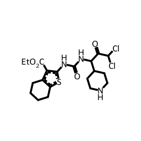 CCOC(=O)c1c(NC(=O)NC(C(=O)C(Cl)Cl)C2CCNCC2)sc2c1CCCC2